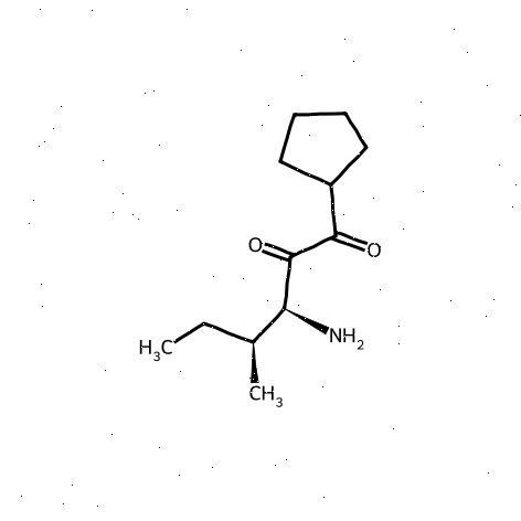 CC[C@H](C)[C@H](N)C(=O)C(=O)C1CCCC1